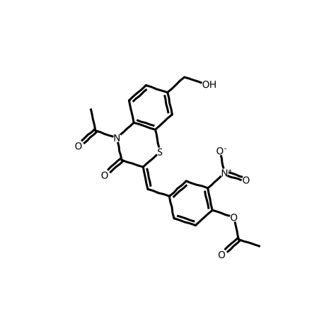 CC(=O)Oc1ccc(/C=C2\Sc3cc(CO)ccc3N(C(C)=O)C2=O)cc1[N+](=O)[O-]